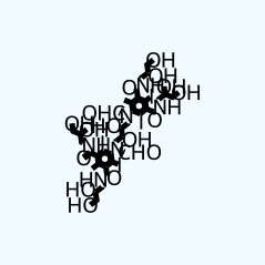 Cc1c(C(=O)NCC(O)CO)c(I)c(N(C=O)CC(O)C(O)CN(C=O)c2c(C)c(C(=O)NCC(O)CO)c(I)c(C(=O)NCC(O)CO)c2I)c(I)c1C(=O)NCC(O)CO